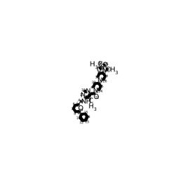 Cc1c(NC[C@H]2CCC[C@@H](C3C=CC=CC3)O2)ncnc1C(=O)N1CCC(N2CCC(N(C)S(C)(=O)=O)CC2)CC1